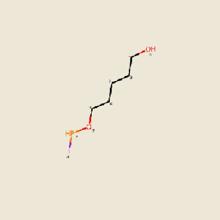 OCCCCCOPI